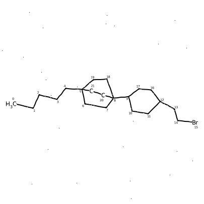 CCCCCC12CCC(C3CCC(CCBr)CC3)(CC1)CC2